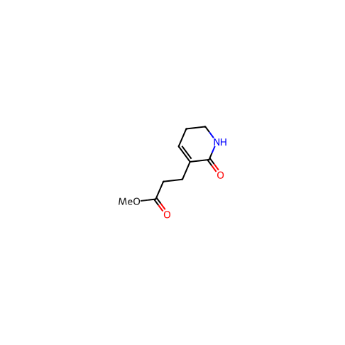 COC(=O)CCC1=CCCNC1=O